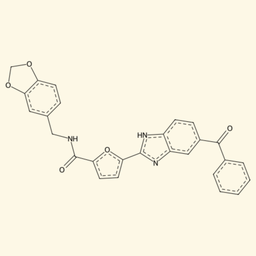 O=C(c1ccccc1)c1ccc2[nH]c(-c3ccc(C(=O)NCc4ccc5c(c4)OCO5)o3)nc2c1